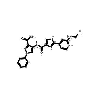 NC(=O)c1nn(-c2ccccc2)cc1NC(=O)c1coc(-c2ccnc(NCC(F)(F)F)c2)n1